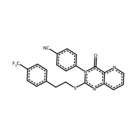 N#Cc1ccc(-n2c(SCCc3ccc(C(F)(F)F)cc3)nc3cccnc3c2=O)cc1